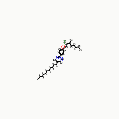 CCCCCCCCCCCc1cnc(-c2ccc(OCC(F)C(C)CCCCC)cc2)nc1